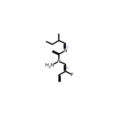 C=C/C(F)=C\N(N)C(=C)/N=C\C(C)CC